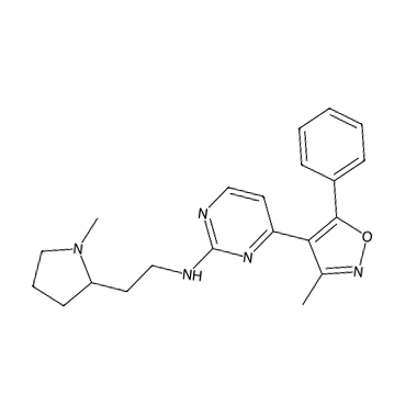 Cc1noc(-c2ccccc2)c1-c1ccnc(NCCC2CCCN2C)n1